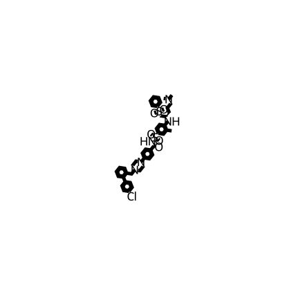 Cc1cc(S(=O)(=O)NC(=O)c2ccc(N3CCN(Cc4ccccc4-c4ccc(Cl)cc4)CC3)cc2)ccc1N[C@H](CCCN(C)C)CS(=O)(=O)c1ccccc1